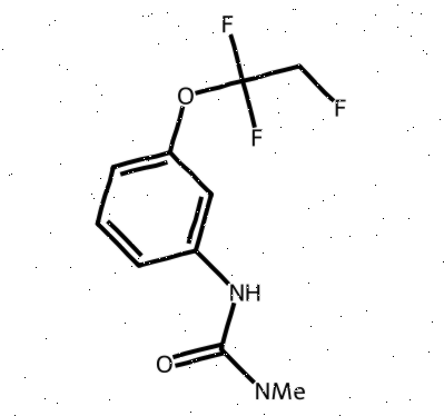 CNC(=O)Nc1cccc(OC(F)(F)CF)c1